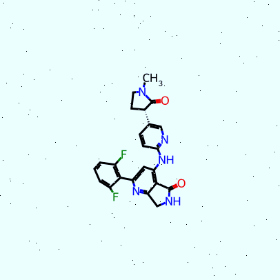 CN1CC[C@@H](c2ccc(Nc3cc(-c4c(F)cccc4F)nc4c3C(=O)NC4)nc2)C1=O